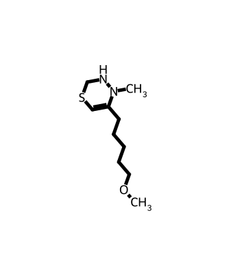 COCCCCCC1=CSCNN1C